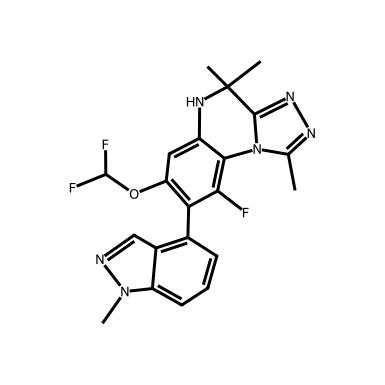 Cc1nnc2n1-c1c(cc(OC(F)F)c(-c3cccc4c3cnn4C)c1F)NC2(C)C